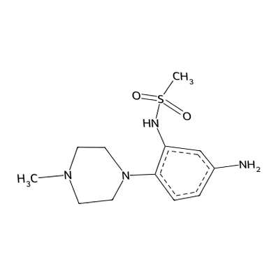 CN1CCN(c2ccc(N)cc2NS(C)(=O)=O)CC1